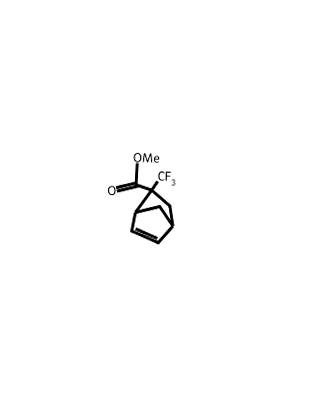 COC(=O)C1(C(F)(F)F)CC2C=CC1C2